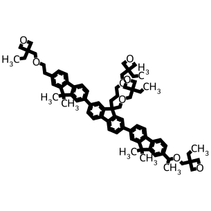 CCC1(COCCCC2(COCC3(CC)COC3)c3cc(-c4ccc5c(c4)C(C)(C)c4cc(CCOCC6(CC)COC6)ccc4-5)ccc3-c3ccc(-c4ccc5c(c4)C(C)(C)c4cc(C(C)OCC6(CC)COC6)ccc4-5)cc32)COC1